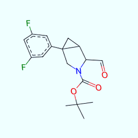 CC(C)(C)OC(=O)N1CC2(c3cc(F)cc(F)c3)CC2C1C=O